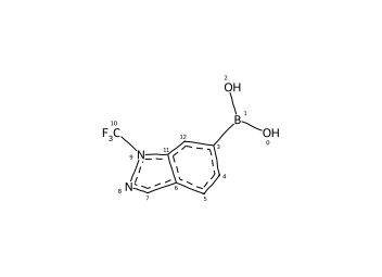 OB(O)c1ccc2cnn(C(F)(F)F)c2c1